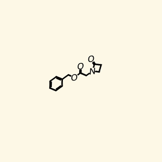 O=C(CN1CCC1=O)OCc1ccccc1